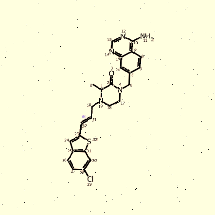 CC1C(=O)N(Cc2ccc3c(N)ncnc3c2)CCN1C/C=C/c1cc2ccc(Cl)cc2s1